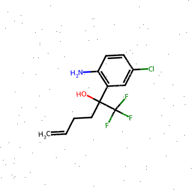 C=CCCC(O)(c1cc(Cl)ccc1N)C(F)(F)F